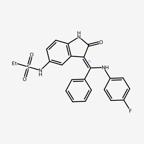 CCS(=O)(=O)Nc1ccc2c(c1)/C(=C(/Nc1ccc(F)cc1)c1ccccc1)C(=O)N2